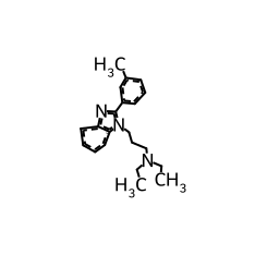 CCN(CC)CCCn1c(-c2cccc(C)c2)nc2ccccc21